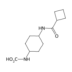 O=C(O)NC1CCC(NC(=O)C2CCC2)CC1